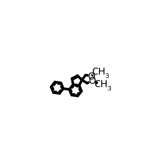 COCC1(COC)C=Cc2c(-c3ccccc3)cccc21